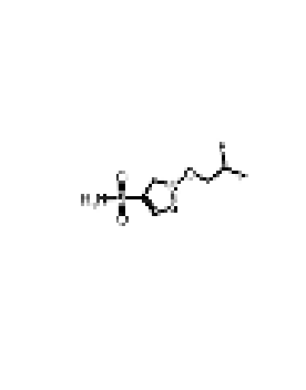 NS(=O)(=O)C1=CSN(OCC(F)F)C1